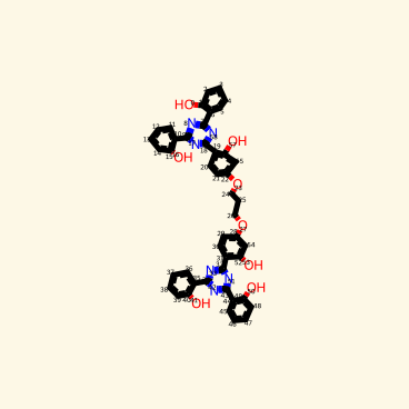 Oc1ccccc1-c1nc(-c2ccccc2O)nc(-c2ccc(OCCCOc3ccc(-c4nc(-c5ccccc5O)nc(-c5ccccc5O)n4)c(O)c3)cc2O)n1